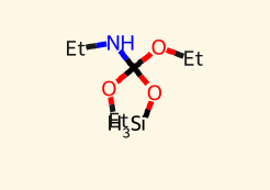 CCNC(O[SiH3])(OCC)OCC